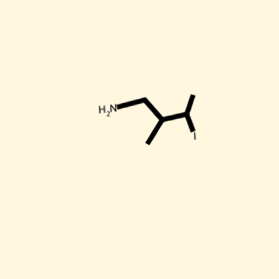 CC(I)C(C)CN